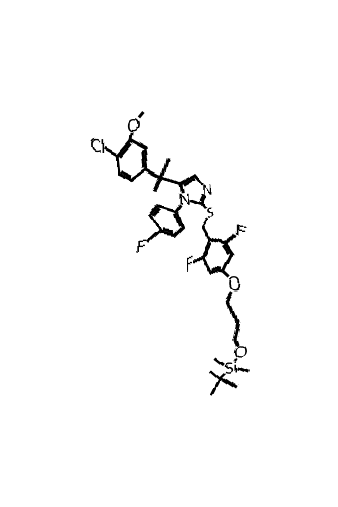 COc1cc(C(C)(C)c2cnc(SCc3c(F)cc(OCCCO[Si](C)(C)C(C)(C)C)cc3F)n2-c2ccc(F)cc2)ccc1Cl